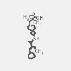 CC/C(=C\c1ccccc1)C1CC1NC1CC2(CCN(CC(C)(C)C(=O)O)CC2)C1